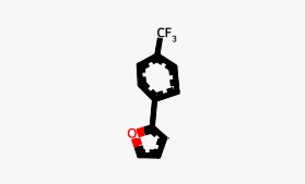 FC(F)(F)c1ccc(-c2[c]cco2)cc1